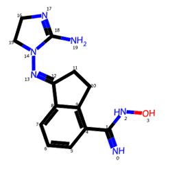 N=C(NO)c1cccc2c1CC/C2=N\N1CCN=C1N